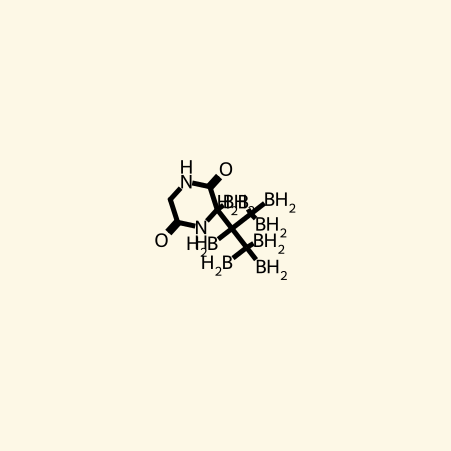 BC(B)(B)C(B)(C(B)(B)B)C1(B)NC(=O)CNC1=O